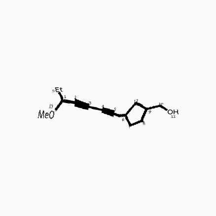 CCC(C#CC#CC1CCC(CO)C1)OC